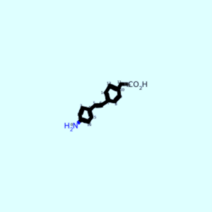 Nc1ccc(C=Cc2ccc(CC(=O)O)cc2)cc1